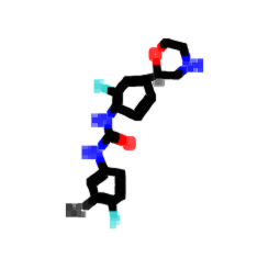 N#Cc1cc(NC(=O)Nc2ccc([C@@H]3CNCCO3)cc2F)ccc1F